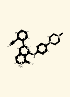 CN1CCN(c2ccc(Nc3nc(-c4ccccc4C#N)cc4cc[nH]c(=O)c34)cc2)CC1